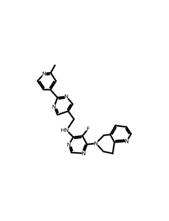 Cc1cc(-c2ncc(CNc3ncnc(N4CCc5ncccc5C4)c3F)cn2)ccn1